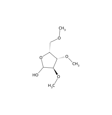 COC[C@H]1OC(O)[C@H](OC)[C@H]1OC